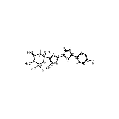 CN1C(=N)N[C@](C)(c2sc(-c3nnc(-c4ccc(Cl)cc4)o3)cc2Cl)CS1(=O)=O